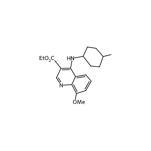 CCOC(=O)c1cnc2c(OC)cccc2c1NC1CCC(C)CC1